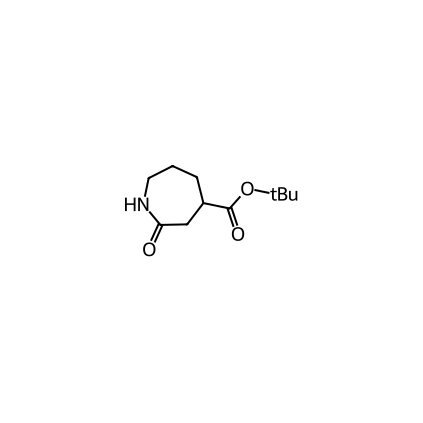 CC(C)(C)OC(=O)C1CCCNC(=O)C1